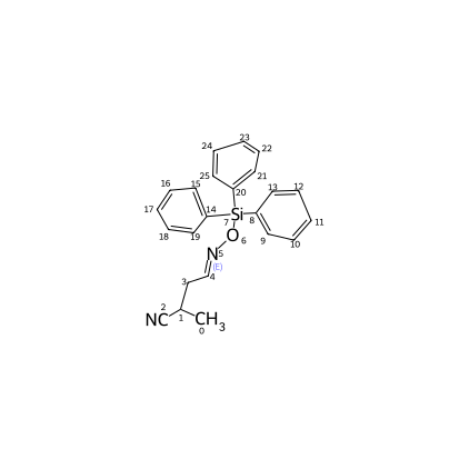 CC(C#N)C/C=N/O[Si](c1ccccc1)(c1ccccc1)c1ccccc1